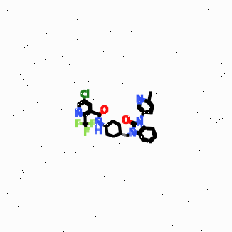 Cc1ccc(-n2c(=O)n(C[C@H]3CC[C@H](NC(=O)c4cc(Cl)cnc4C(F)(F)F)CC3)c3ccccc32)cn1